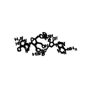 Nc1nc2c(ncn2C2OC3CO[P@](=O)(S)OC4C(CO[P@@](=O)(S)OC2C3CO)CC(n2cnc3c(N)ncnc32)C4O)c(=O)[nH]1